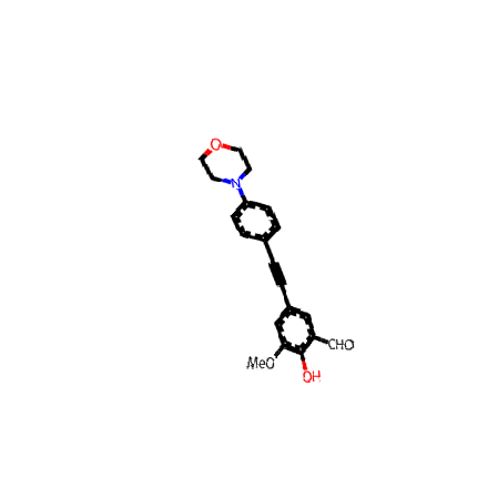 COc1cc(C#Cc2ccc(N3CCOCC3)cc2)cc(C=O)c1O